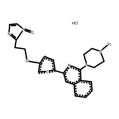 CCN1CCN(c2nc(-c3ccc(OCCC4=NC=C[N+]4=O)cc3)cc3ccccc23)CC1.Cl